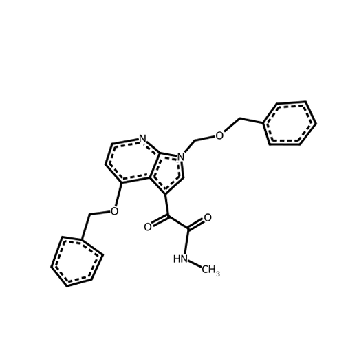 CNC(=O)C(=O)c1cn(COCc2ccccc2)c2nccc(OCc3ccccc3)c12